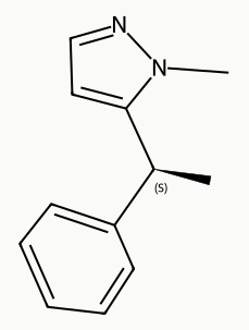 C[C@@H](c1ccccc1)c1ccnn1C